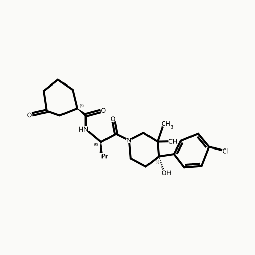 CC(C)[C@@H](NC(=O)[C@@H]1CCCC(=O)C1)C(=O)N1CC[C@](O)(c2ccc(Cl)cc2)C(C)(C)C1